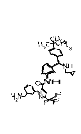 CC(C)(C)c1ccc(C(NCC2CC2)c2cccc(NC(=O)c3cc(C(F)(F)F)nn3-c3cccc(CN)c3)c2)cc1